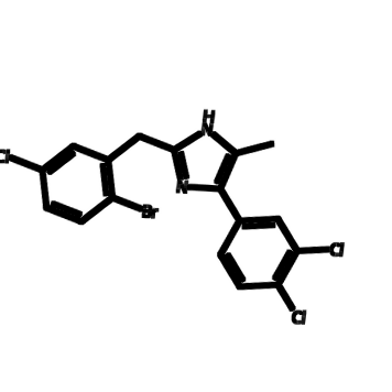 Cc1[nH]c(Cc2cc(Cl)ccc2Br)nc1-c1ccc(Cl)c(Cl)c1